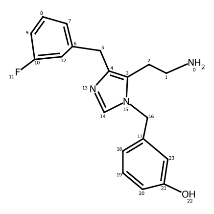 NCCc1c(Cc2cccc(F)c2)ncn1Cc1cccc(O)c1